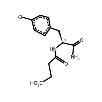 NC(=O)[C@H](Cc1ccc(Cl)cc1)NC(=O)CCC(=O)O